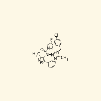 Cc1noc(-c2ccccc2)c1NC(=O)N1CC(F)C[C@@H]1c1nnc(C)n1Cc1ccc(Cl)cc1